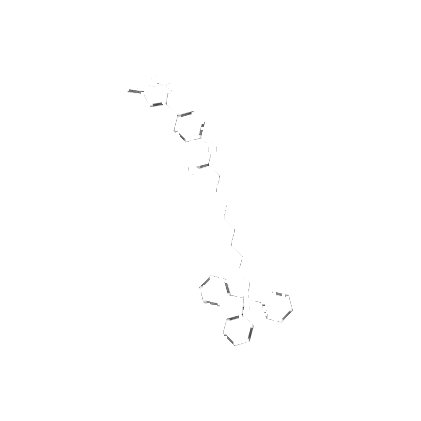 C=C1C=C(c2ccc(OC(=O)CCCCCCCCC[PH](c3ccccc3)(c3ccccc3)c3ccccc3)cc2)SS1